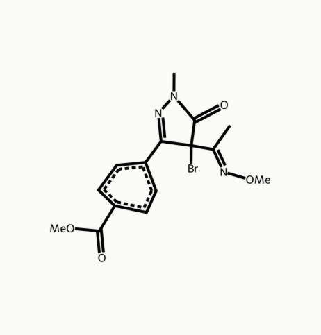 CO/N=C(\C)C1(Br)C(=O)N(C)N=C1c1ccc(C(=O)OC)cc1